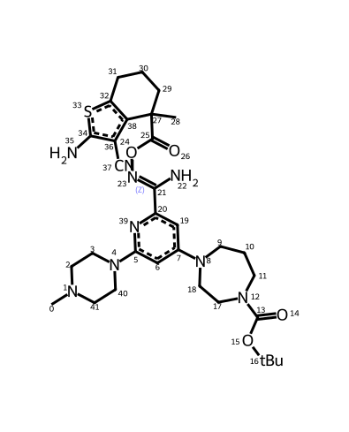 CN1CCN(c2cc(N3CCCN(C(=O)OC(C)(C)C)CC3)cc(/C(N)=N/OC(=O)C3(C)CCCc4sc(N)c(C#N)c43)n2)CC1